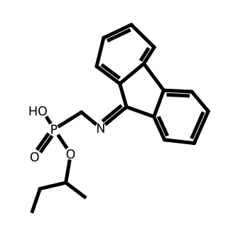 CCC(C)OP(=O)(O)CN=C1c2ccccc2-c2ccccc21